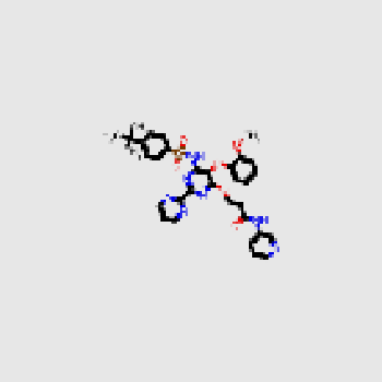 COc1ccccc1Oc1c(NS(=O)(=O)c2ccc(C(C)(C)C)cc2)nc(-c2ncccn2)nc1OCCC(=O)Nc1cccnc1